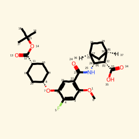 COc1cc(F)c(O[C@H]2CC[C@@H](C(=O)OC(C)(C)C)CC2)cc1C(=O)N[C@@H]1[C@H]2CC[C@H](C2)[C@@H]1C(=O)O